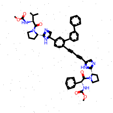 COC(=O)N[C@H](C(=O)N1CCC[C@H]1c1ncc(-c2ccc(C#CC#Cc3cnc([C@@H]4CCCN4C(=O)[C@H](NC(=O)OC)c4ccccc4)[nH]3)c(-c3cccc(-c4ccccc4)c3)c2)[nH]1)C(C)C